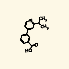 CC(C)c1cc(-c2cccc(C(=O)O)c2)ccn1